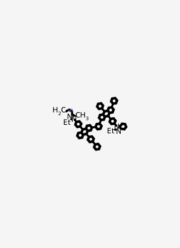 C=C/C=C\c1nc(CC)n(-c2ccc(-c3c4ccccc4c(-c4ccc(-c5ccccc5)cc4)c4cc(-c5cccc(-c6ccc7c(-c8ccccc8)c8cc(-c9ccccc9)ccc8c(-c8ccc(-n9c(CC)nc%10ccccc%109)cc8)c7c6)c5)ccc34)cc2)c1C